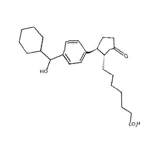 O=C(O)CCCCCC[C@H]1C(=O)CC[C@@H]1c1ccc(C(O)C2CCCCC2)cc1